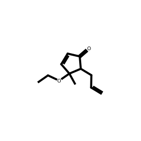 C=CCC1C(=O)C=CC1(C)OCC